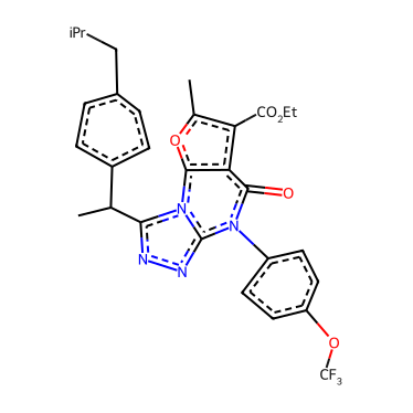 CCOC(=O)c1c(C)oc2c1c(=O)n(-c1ccc(OC(F)(F)F)cc1)c1nnc(C(C)c3ccc(CC(C)C)cc3)n21